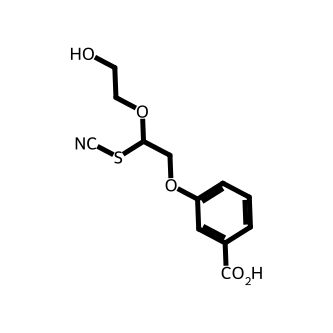 N#CSC(COc1cccc(C(=O)O)c1)OCCO